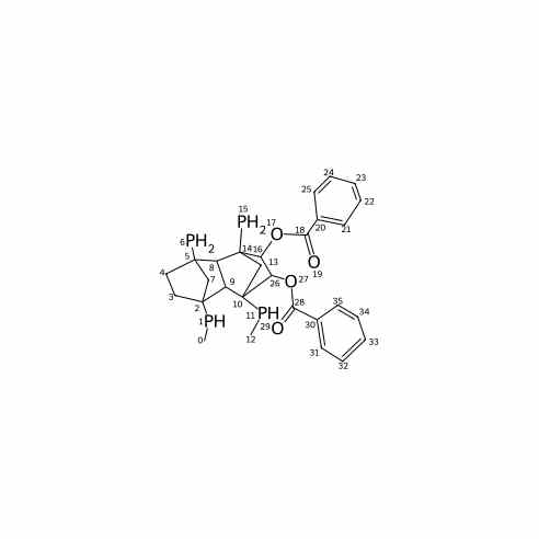 CPC12CCC(P)(C1)C1C2C2(PC)CC1(P)C(OC(=O)c1ccccc1)C2OC(=O)c1ccccc1